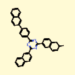 CC1C=Cc2cc(-c3nc(-c4ccc(-c5ccc6ccccc6c5)cc4)nc(-c4ccc5ccccc5c4)n3)ccc2C1